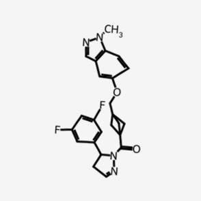 Cn1ncc2cc(OCC34CC(C(=O)N5N=CCC5c5cc(F)cc(F)c5)(C3)C4)ccc21